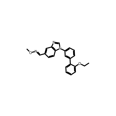 CCOc1ccccc1-c1cccc(-n2cnc3cc(C=NOC)ccc32)c1